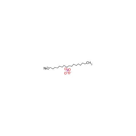 CCCCCCCCCCCCCCCCC[CH2][Ni+3].O=P([O-])([O-])[O-]